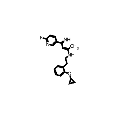 C/C(=C\C(=N)c1ccc(F)nc1)NCCc1ccccc1OC1CC1